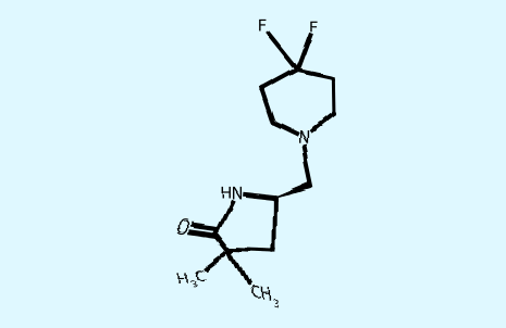 CC1(C)C[C@H](CN2CCC(F)(F)CC2)NC1=O